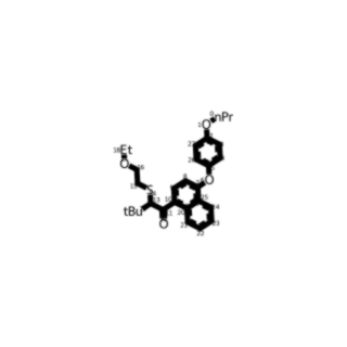 CCCOc1ccc(Oc2ccc(C(=O)C(SCCOCC)C(C)(C)C)c3ccccc23)cc1